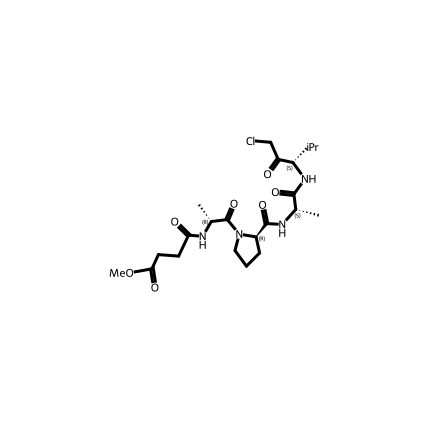 COC(=O)CCC(=O)N[C@H](C)C(=O)N1CCC[C@@H]1C(=O)N[C@@H](C)C(=O)N[C@H](C(=O)CCl)C(C)C